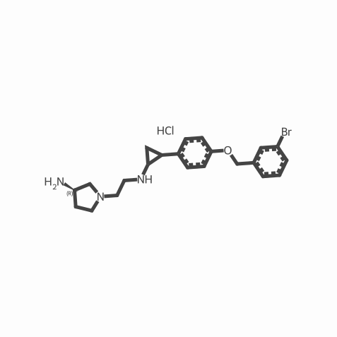 Cl.N[C@@H]1CCN(CCNC2CC2c2ccc(OCc3cccc(Br)c3)cc2)C1